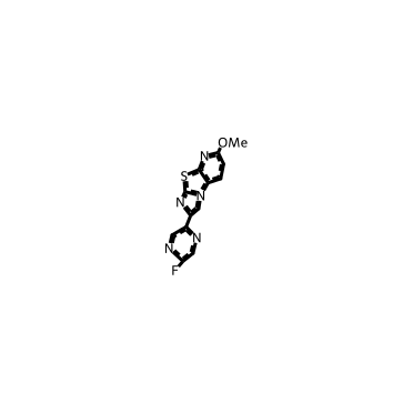 COc1ccc2c(n1)sc1nc(-c3cnc(F)cn3)cn12